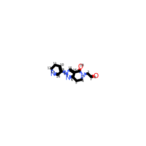 O=CCN1CCc2nn(C3=CCCN=C3)cc2C1=O